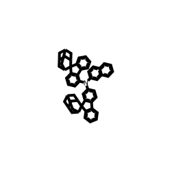 c1ccc2c(c1)-c1ccc(N(c3ccc4ccccc4c3)c3cccc4c3-c3ccccc3C43C4CC5CC(C4)CC3C5)cc1C21C2CC3CC(C2)CC1C3